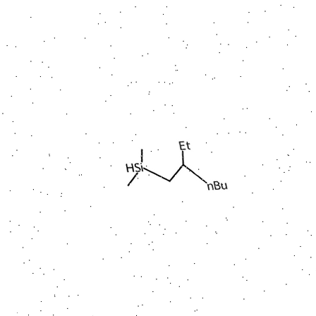 CCCCC(CC)C[SiH](C)C